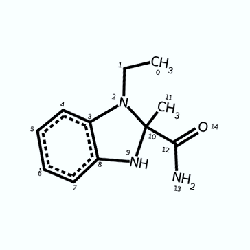 CCN1c2cc[c]cc2NC1(C)C(N)=O